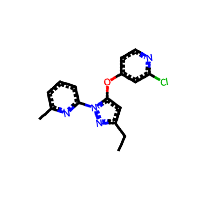 CCc1cc(Oc2ccnc(Cl)c2)n(-c2cccc(C)n2)n1